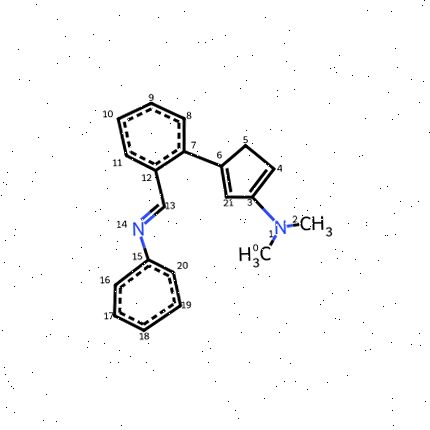 CN(C)C1=CCC(c2ccccc2C=Nc2ccccc2)=C1